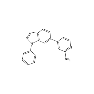 Nc1cc(-c2ccc3cnn(-c4ccccc4)c3c2)ccn1